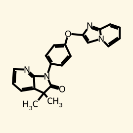 CC1(C)C(=O)N(c2ccc(Oc3cn4ccccc4n3)cc2)c2ncccc21